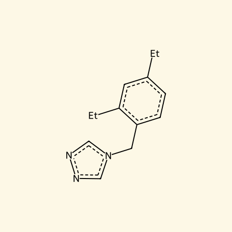 CCc1ccc(Cn2cnnc2)c(CC)c1